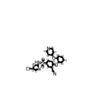 N#Cc1cc(S(=O)(=O)Nc2ncc(Cl)s2)ccc1Oc1ccccc1Oc1ccncc1